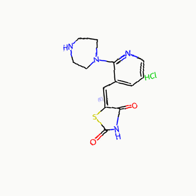 Cl.O=C1NC(=O)/C(=C\c2cccnc2N2CCNCC2)S1